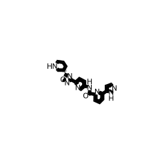 O=C(Nc1ccc(-c2noc([C@H]3CCCNC3)n2)nc1)c1cccc(-c2ccn[nH]2)n1